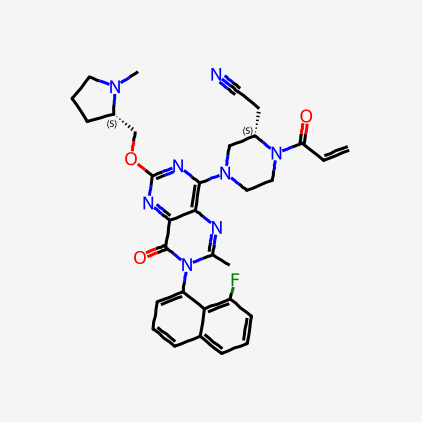 C=CC(=O)N1CCN(c2nc(OC[C@@H]3CCCN3C)nc3c(=O)n(-c4cccc5cccc(F)c45)c(C)nc23)C[C@@H]1CC#N